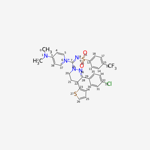 CN(C)c1cc[n+](/C(=N/S(=O)(=O)c2ccc(C(F)(F)F)cc2)N2CCC(c3cccs3)C(c3ccc(Cl)cc3)=N2)cc1